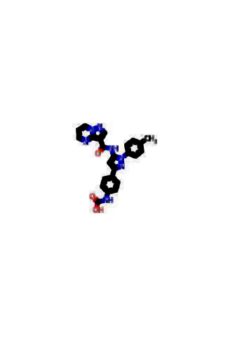 Cc1ccc(-n2nc(-c3ccc(NC(=O)O)cc3)cc2NC(=O)c2cnn3cccnc23)cc1